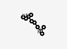 c1ccc(-n2c(-c3ccc(-c4ccc5cc(-c6c7ccccc7nc7c6ccc6cccnc67)ccc5c4)cc3)nc3ccccc32)cc1